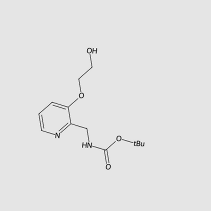 CC(C)(C)OC(=O)NCc1ncccc1OCCO